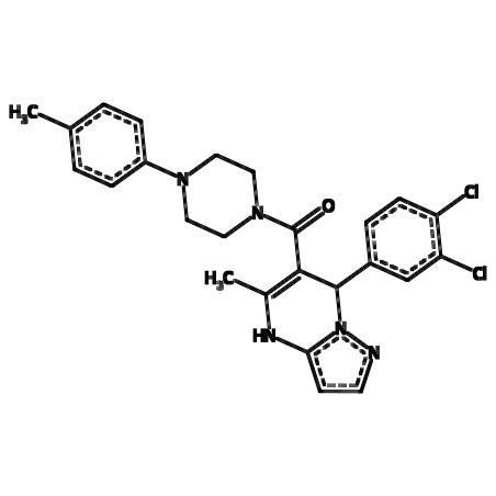 CC1=C(C(=O)N2CCN(c3ccc(C)cc3)CC2)C(c2ccc(Cl)c(Cl)c2)n2nccc2N1